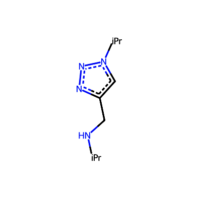 CC(C)NCc1cn(C(C)C)nn1